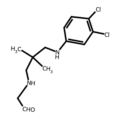 CC(C)(CNCC=O)CNc1ccc(Cl)c(Cl)c1